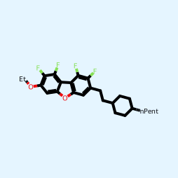 CCCCCC1CCC(CCc2cc3oc4cc(OCC)c(F)c(F)c4c3c(F)c2F)CC1